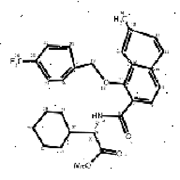 COC(=O)[C@@H](NC(=O)c1ccc2ccc(C)cc2c1OCc1ccc(C(F)(F)F)cc1)C1CCCCC1